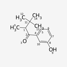 CC(C(=O)c1cccc(O)c1)C(C)(C)C